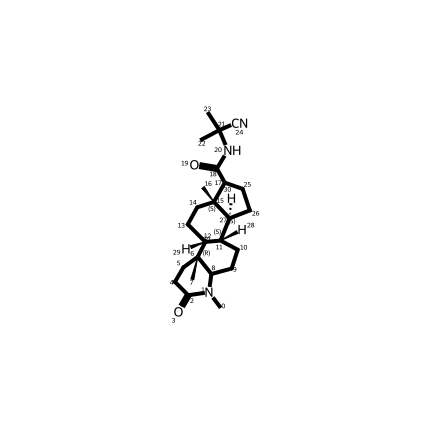 CN1C(=O)CC[C@@]2(C)C1CC[C@@H]1[C@H]2CC[C@]2(C)C(C(=O)NC(C)(C)C#N)CC[C@@H]12